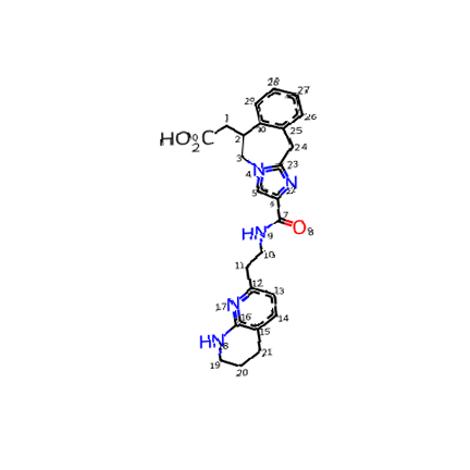 O=C(O)CC1Cn2cc(C(=O)NCCc3ccc4c(n3)NCCC4)nc2Cc2ccccc21